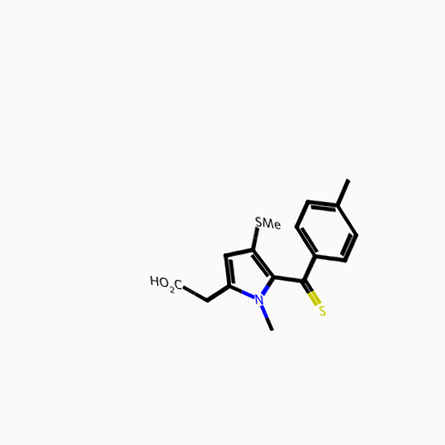 CSc1cc(CC(=O)O)n(C)c1C(=S)c1ccc(C)cc1